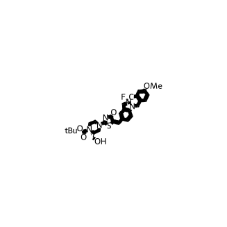 COc1ccc(Cn2ncc3cc(C=C4SC(N5CCN(C(=O)OC(C)(C)C)[C@@H](CO)C5)=NC4=O)ccc32)c(C(F)(F)F)c1